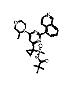 CC1COCCN1c1cc(C2(S(C)(=O)=NC(=O)C(C)(C)C)CC2)nc(-c2cccc3cnccc23)n1